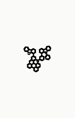 c1ccc(-c2cccc3cccc(-c4ccccc4N(c4cccc(-c5cccc6c5oc5ccccc56)c4)c4cccc(-c5cccc6c7ccccc7n(-c7ccccc7)c56)c4)c23)cc1